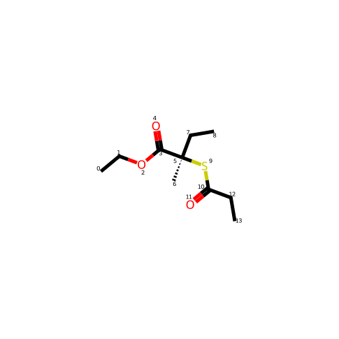 CCOC(=O)[C@@](C)(CC)SC(=O)CC